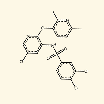 Cc1ccc(Oc2ncc(Cl)cc2NS(=O)(=O)c2ccc(Cl)c(Cl)c2)c(C)n1